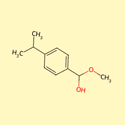 COC(O)c1ccc(C(C)C)cc1